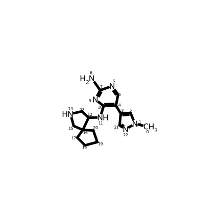 Cn1cc(-c2cnc(N)nc2NC2CNCC23CCCC3)cn1